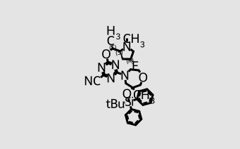 C[C@H](Oc1nc(C#N)nc(N2CCOCC(C)(O[Si](c3ccccc3)(c3ccccc3)C(C)(C)C)C2)n1)[C@@H]1C[C@@H](F)CN1C